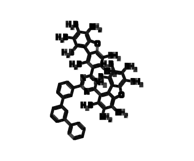 Bc1c(B)c(B)c2c(oc3c(B)c(B)c(-c4nc(-c5cccc(-c6cccc(-c7ccccc7)c6)c5)nc(-c5c(B)c(B)c(B)c6oc7c(B)c(B)c(B)c(B)c7c56)n4)c(B)c32)c1B